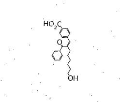 O=C(O)c1ccc(C=C(CCCCCCO)C(=O)c2ccccc2)cc1